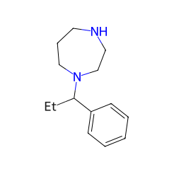 CCC(c1ccccc1)N1CCCNCC1